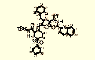 CC(C)[C@H](NC(=O)c1ccc2ccccc2n1)C(=O)NC(Cc1ccccc1)C(O)CN1CCC(S(=O)(=O)c2ccccc2)CC1C(=O)NC(C)(C)C